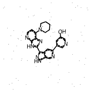 Oc1cncc(-c2cc3c(-c4nc5c(N6CCCCC6)ccnc5[nH]4)n[nH]c3cn2)c1